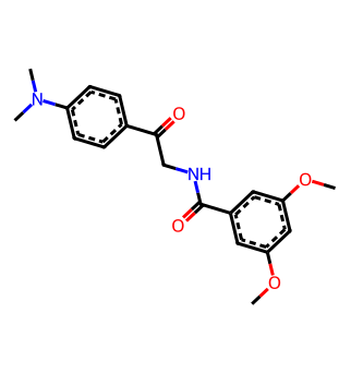 COc1cc(OC)cc(C(=O)NCC(=O)c2ccc(N(C)C)cc2)c1